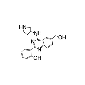 OCc1ccc2nc(-c3ccccc3O)nc(N[C@H]3CCNC3)c2c1